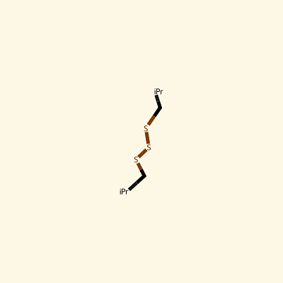 CC(C)CSSSCC(C)C